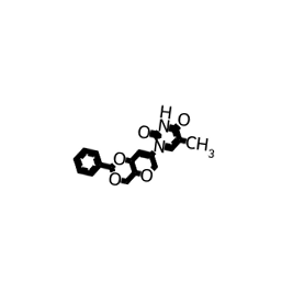 Cc1cn(C2=CC3OC(c4ccccc4)OCC3OC2)c(=O)[nH]c1=O